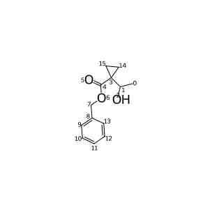 CC(O)C1(C(=O)OCc2ccccc2)CC1